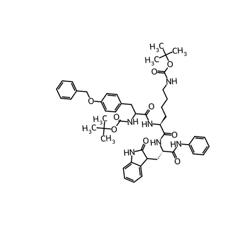 CC(C)(C)OC(=O)NCCCC[C@H](NC(=O)C(Cc1ccc(OCc2ccccc2)cc1)NC(=O)OC(C)(C)C)C(=O)N[C@@H](CC1C(=O)Nc2ccccc21)C(=O)Nc1ccccc1